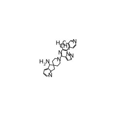 Cc1cnccc1-c1c(C)nc(N2CCC3(CC2)Cc2ncccc2[C@H]3N)c2ccnn12